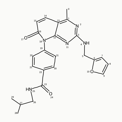 Cc1nc(NCc2ccco2)nc2c1ccc(=O)n2-c1ccc(C(=O)NCC(C)C)cc1